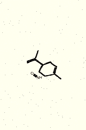 C=C(C)C1CC=C(C)CC1.N=O